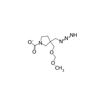 COCOCC1(CN=[N+]=N)CCN(C(=O)[O-])C1